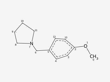 COc1ccc(CN2C[CH]CC2)cc1